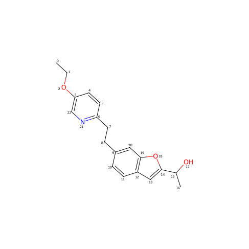 CCOc1ccc(CCc2ccc3cc(C(C)O)oc3c2)nc1